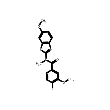 COc1ccc2nc(N(C)C(=O)c3ccc(F)c(OC)c3)sc2c1